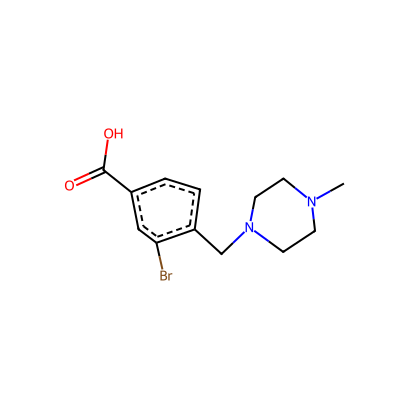 CN1CCN(Cc2ccc(C(=O)O)cc2Br)CC1